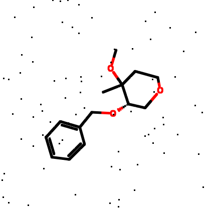 COC1(C)CCOC[C@@H]1OCc1ccccc1